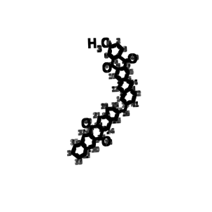 Cc1ccc2c(c1)C(=O)c1cc3cc4cc(Cc5ccc6cc7c(cc6c5)C(=O)c5cc6ccccc6cc5C7=O)ccc4cc3cc1C2=O